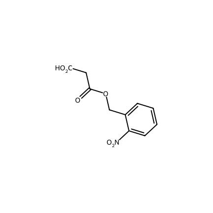 O=C(O)CC(=O)OCc1ccccc1[N+](=O)[O-]